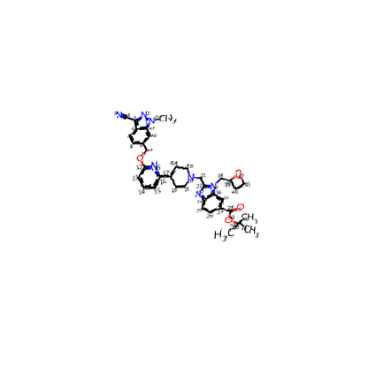 Cn1nc(C#N)c2ccc(COc3cccc(C4CCN(Cc5nc6ccc(C(=O)OC(C)(C)C)cc6n5C[C@@H]5CCO5)CC4)n3)cc21